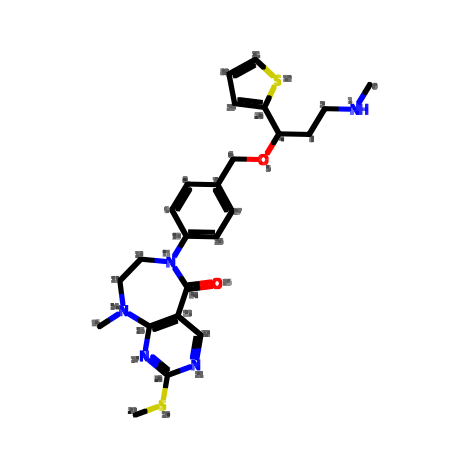 CNCCC(OCc1ccc(N2CCN(C)c3nc(SC)ncc3C2=O)cc1)c1cccs1